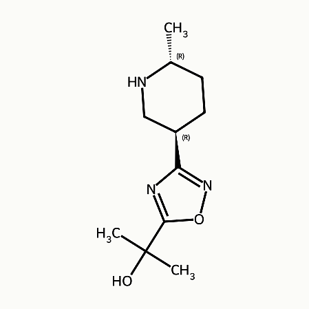 C[C@@H]1CC[C@@H](c2noc(C(C)(C)O)n2)CN1